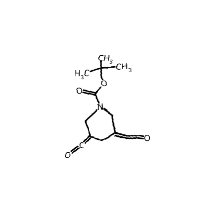 CC(C)(C)OC(=O)N1CC(=C=O)CC(=C=O)C1